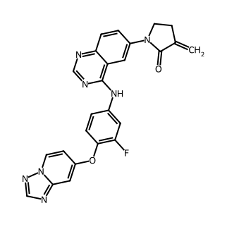 C=C1CCN(c2ccc3ncnc(Nc4ccc(Oc5ccn6ncnc6c5)c(F)c4)c3c2)C1=O